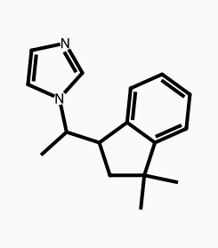 CC(C1CC(C)(C)c2ccccc21)n1ccnc1